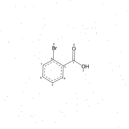 O=C(O)c1[c]cccc1Br